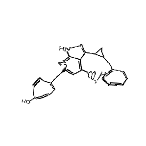 O=C(O)c1cc(-c2ccc(O)cc2)nc2[nH]nc(C3CC3c3ccccc3)c12